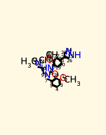 COc1cccc(CN(CCCN(C)C)C(=O)Nc2ccc(-c3cn[nH]c3)cc2OC)c1